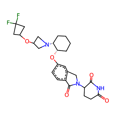 O=C1CCC(N2Cc3cc(O[C@H]4CCCC[C@H]4N4CC(OC5CC(F)(F)C5)C4)ccc3C2=O)C(=O)N1